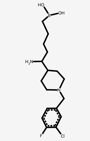 NC(CCCCB(O)O)C1CCN(Cc2ccc(F)c(Cl)c2)CC1